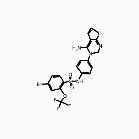 NC1=c2ccoc2=NCN1c1ccc(NS(=O)(=O)c2ccc(Br)cc2OC(F)(F)F)cc1